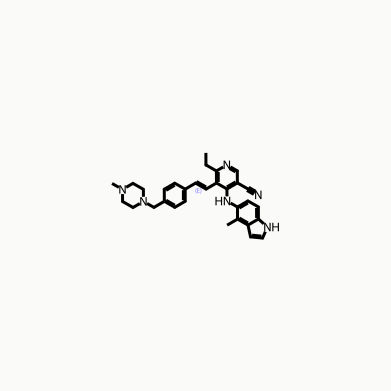 CCc1ncc(C#N)c(Nc2ccc3[nH]ccc3c2C)c1/C=C/c1ccc(CN2CCN(C)CC2)cc1